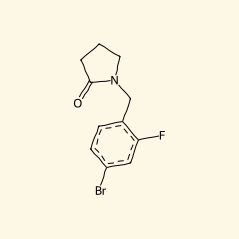 O=C1CCCN1Cc1ccc(Br)cc1F